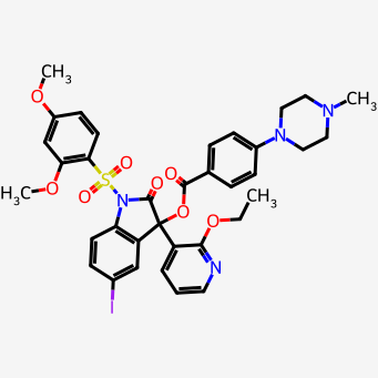 CCOc1ncccc1C1(OC(=O)c2ccc(N3CCN(C)CC3)cc2)C(=O)N(S(=O)(=O)c2ccc(OC)cc2OC)c2ccc(I)cc21